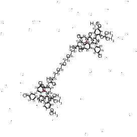 COc1ccc(C2=N[C@H](c3ccc(Cl)cc3)[C@H](c3ccc(Cl)cc3)N2C(=O)N2CCN(CC(=O)NCCCOCCOCCOCCCNC(=O)CN3CCN(C(=O)N4C(c5ccc(OC)cc5OC(C)C)=N[C@H](c5ccc(Cl)cc5)[C@@H]4c4ccc(Cl)cc4)CC3=O)C(=O)C2)c(OC(C)C)c1